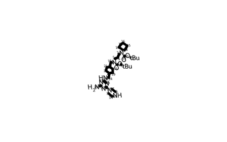 CC(C)(C)OC(=O)N(CCCN(C(=O)OC(C)(C)C)C1CCCCC1)CC1CCC(CNc2nc(N)nc(N3CCNCC3)n2)CC1